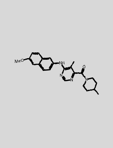 COc1ccc2cc(Nc3ncnc(C(=O)N4CCC(C)CC4)c3C)ccc2c1